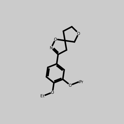 CCOc1ccc(C2=NOC3(CCOC3)C2)cc1OC(C)C